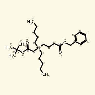 CCCCC[N+](CCCCC)(CCCC(=O)OCc1ccccc1)CC(=O)OC(C)(C)C